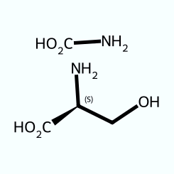 NC(=O)O.N[C@@H](CO)C(=O)O